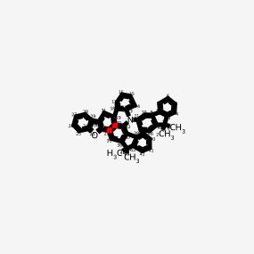 CC1(C)c2ccccc2-c2cc(N(c3ccccc3-c3ccc4oc5ccccc5c4c3)c3cccc4c3-c3ccccc3C4(C)C)ccc21